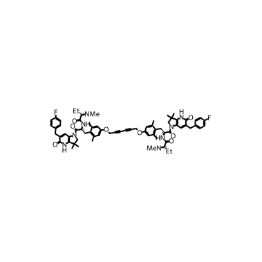 CC[C@H](NC)C(=O)N[C@@H](Cc1c(C)cc(OCC#CC#CCOc2cc(C)c(C[C@H](NC(=O)[C@H](CC)NC)C(=O)N3CC(C)(C)c4[nH]c(=O)c(Cc5ccc(F)cc5)cc43)c(C)c2)cc1C)C(=O)N1CC(C)(C)c2[nH]c(=O)c(Cc3ccc(F)cc3)cc21